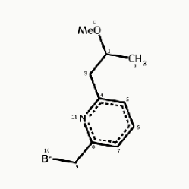 COC(C)Cc1cccc(CBr)n1